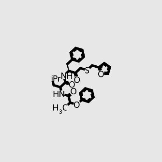 CC(C)CC(NC(=O)C(C)Oc1ccccc1)C(=O)N[C@@H](Cc1ccccc1)C(=O)CSCc1ccco1